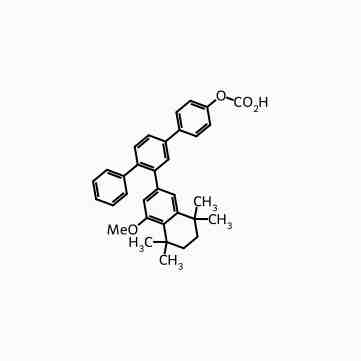 COc1cc(-c2cc(-c3ccc(OC(=O)O)cc3)ccc2-c2ccccc2)cc2c1C(C)(C)CCC2(C)C